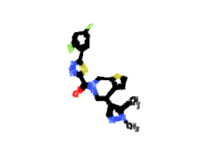 Cc1c(C2CN(C(=O)c3nnc(-c4ccc(F)cc4F)s3)Cc3sccc32)cnn1C